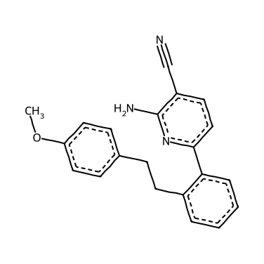 COc1ccc(CCc2ccccc2-c2ccc(C#N)c(N)n2)cc1